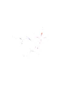 CC(C)N=P(O)(OP(=O)(O)O)SC(C)C